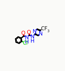 O=C(NC(=O)c1ccccc1Cl)Nc1cnc(C(F)(F)F)cn1